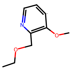 CCOCc1ncc[c]c1OC